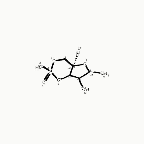 C[C@@H]1O[C@@H]2COP(=O)(O)OC2C1O